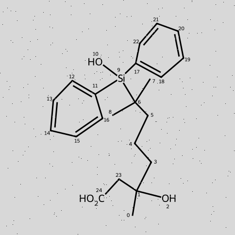 CC(O)(CCCC(C)(C)[Si](O)(c1ccccc1)c1ccccc1)CC(=O)O